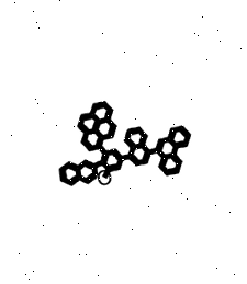 c1ccc2cc3c(cc2c1)oc1cc(-c2ccc(-c4cc5ccccc5c5ccccc45)c4ccccc24)cc(-c2ccc4ccc5cccc6ccc2c4c56)c13